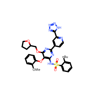 CCCCc1ccccc1S(=O)(=O)Nc1nc(-c2ccnc(-c3nnn[nH]3)c2)nc(OCC2CCCO2)c1Oc1ccccc1OC